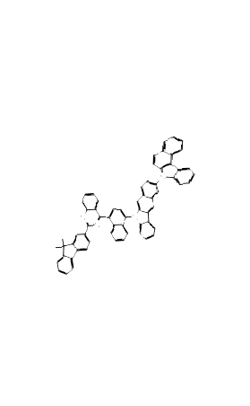 CC1(C)c2ccccc2-c2ccc(-c3nc(-c4ccc(-n5c6ccccc6c6cc7cc(-n8c9ccccc9c9c%10ccccc%10ccc98)ccc7cc65)c5ccccc45)c4ccccc4n3)cc21